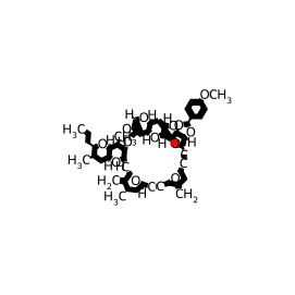 C=C1CC2CC[C@@]34OC5[C@H]6O[C@H](CC[C@@H]6O[C@H]6C(O3)[C@]3(O[C@@H](c7ccc(OC)cc7)O[C@@H]43)O[C@@H]56)CC(=O)O[C@@H]3[C@@H](C)[C@@H]4O[C@H](CCC)[C@H](C)C[C@@H]4O[C@H]3CC3O[C@@H](CCC1O2)C[C@@H](C)C3=C